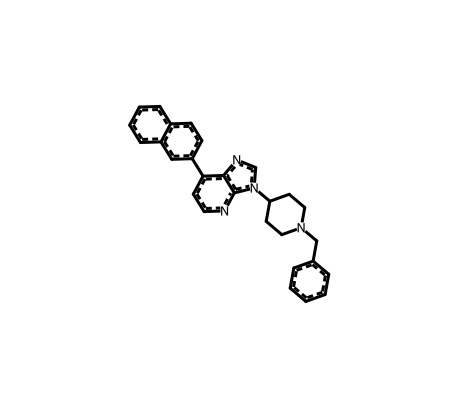 c1ccc(CN2CCC(n3cnc4c(-c5ccc6ccccc6c5)ccnc43)CC2)cc1